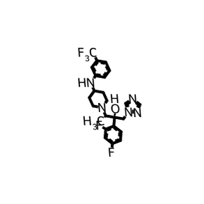 C[C@@H](N1CCC(Nc2cccc(C(F)(F)F)c2)CC1)[C@](O)(Cn1cncn1)c1ccc(F)cc1F